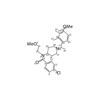 COCCN(C(=O)c1ccc(Cl)cc1)C1CCN(C(C)c2ccc(OC)c(C)c2C)CC1